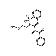 C=C(C(=O)c1ccccc1)C1=Nc2ccccc2S(=O)(=O)N1CCOCCC